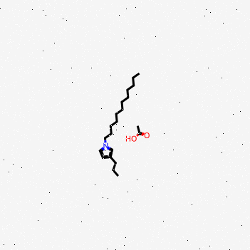 CC(=O)O.CCCCCCCCCCCCn1ccc(CCC)c1